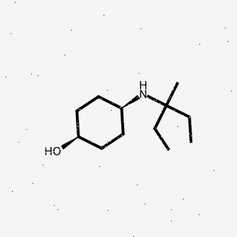 CCC(C)(CC)N[C@H]1CC[C@@H](O)CC1